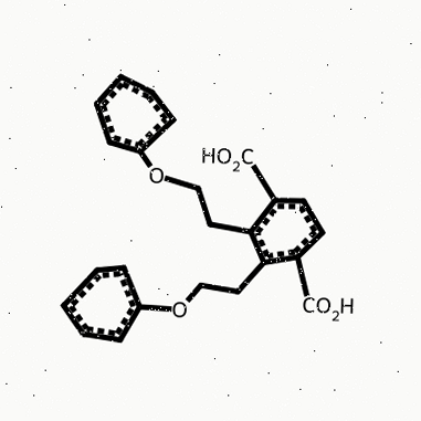 O=C(O)c1ccc(C(=O)O)c(CCOc2ccccc2)c1CCOc1ccccc1